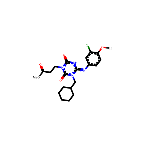 CCOc1ccc(/N=c2\[nH]c(=O)n(CCC(=O)OC)c(=O)n2CC2CCCCC2)cc1Cl